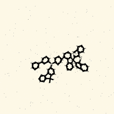 CC1(C)c2ccccc2-c2cc(N(c3ccc(-c4cccc5c4-c4ccccc4C54c5ccc6ccccc6c5Oc5c4ccc4ccccc54)cc3)c3cccc(-c4ccccc4)c3)ccc21